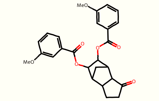 COc1cccc(C(=O)OC2C3CC(C2OC(=O)c2cccc(OC)c2)C2C(=O)CCC32)c1